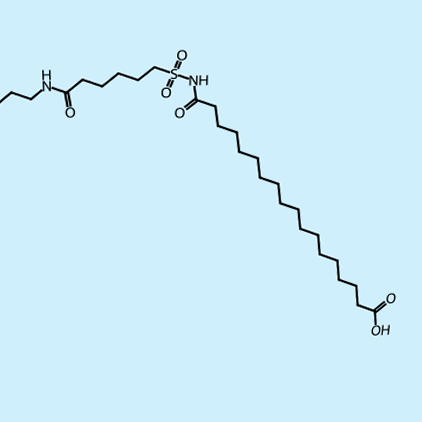 CCCNC(=O)CCCCCS(=O)(=O)NC(=O)CCCCCCCCCCCCCCCCC(=O)O